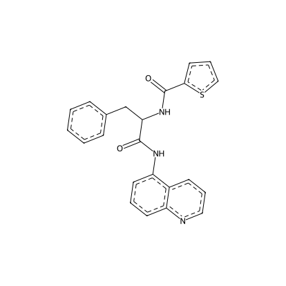 O=C(NC(Cc1ccccc1)C(=O)Nc1cccc2ncccc12)c1cccs1